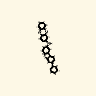 c1ccc(-c2ccc3c(c2)sc2ccc(Nc4ccc5c(c4)Oc4ccccc4O5)cc23)cc1